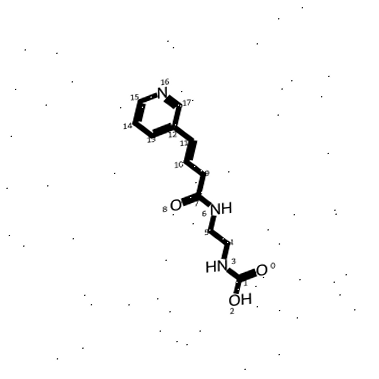 O=C(O)NCCNC(=O)CC=Cc1cccnc1